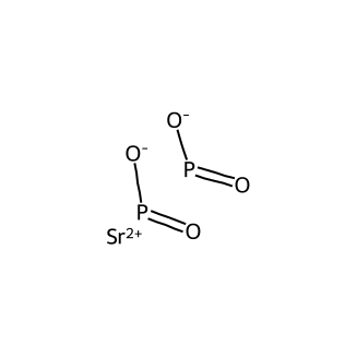 O=P[O-].O=P[O-].[Sr+2]